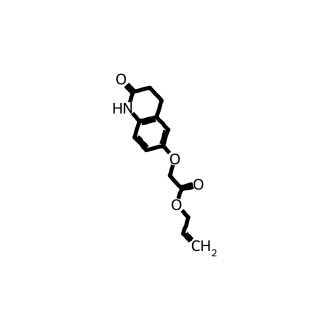 C=CCOC(=O)COc1ccc2c(c1)CCC(=O)N2